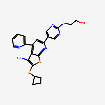 Nc1c(SC2CCC2)sc2nc(-c3cnc(NCCO)nc3)cc(-c3ccccn3)c12